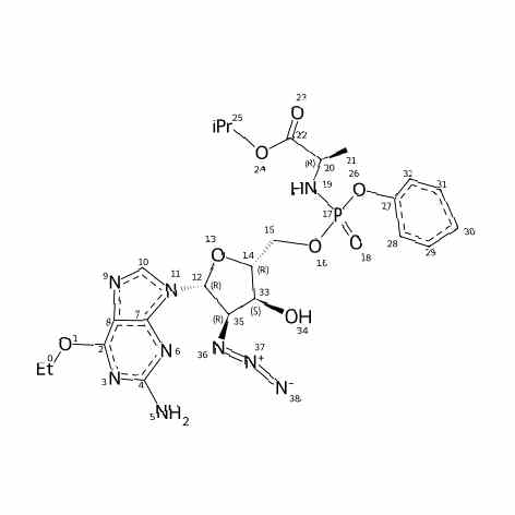 CCOc1nc(N)nc2c1ncn2[C@@H]1O[C@H](COP(=O)(N[C@H](C)C(=O)OC(C)C)Oc2ccccc2)[C@@H](O)[C@H]1N=[N+]=[N-]